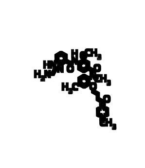 COc1cc(C(=O)N(C)c2ccc(C)cc2OCCCC(=O)N2CCN(C)CC2)ccc1NC(=O)c1cccc2[nH]c(CN)nc12